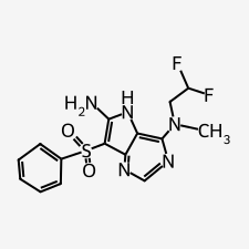 CN(CC(F)F)c1ncnc2c(S(=O)(=O)c3ccccc3)c(N)[nH]c12